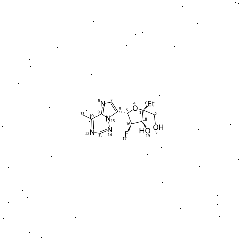 CC[C@]1(CO)O[C@@H](c2cnc3c(C)ncnn23)[C@H](F)[C@@H]1O